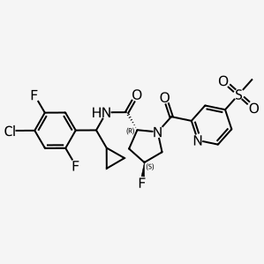 CS(=O)(=O)c1ccnc(C(=O)N2C[C@@H](F)C[C@@H]2C(=O)NC(c2cc(F)c(Cl)cc2F)C2CC2)c1